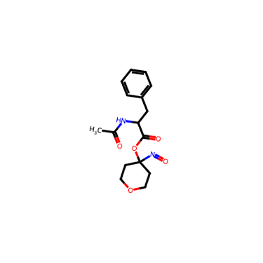 CC(=O)NC(Cc1ccccc1)C(=O)OC1(N=O)CCOCC1